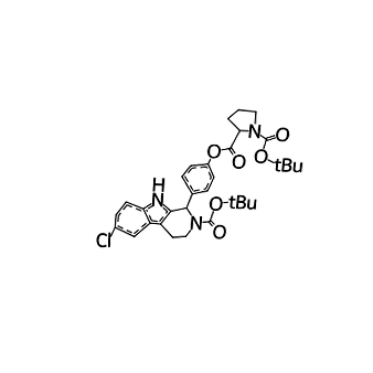 CC(C)(C)OC(=O)N1CCCC1C(=O)Oc1ccc(C2c3[nH]c4ccc(Cl)cc4c3CCN2C(=O)OC(C)(C)C)cc1